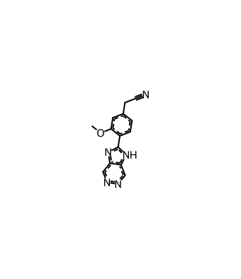 COc1cc(CC#N)ccc1-c1nc2cnncc2[nH]1